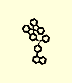 C1=C(c2cccc3ccccc23)CCC(N(c2ccccc2)c2ccc3c(c2)C2(c4ccccc4-c4ccccc42)c2ccccc2-3)=C1